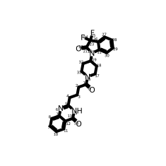 O=C(CCCc1nc2ccccc2c(=O)[nH]1)N1CCC(N2C(=O)C(F)(F)c3ccccc32)CC1